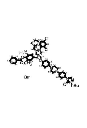 CCCCn1ncn(-c2ccc(N3CCN(c4ccc(OC[N+]5(Cc6cc(C)c(OC(=O)c7cccnc7)c(C)c6)CN(CC6OCCO6)N(c6ccc(Cl)cc6Cl)C5)cc4)CC3)cc2)c1=O.[Br-]